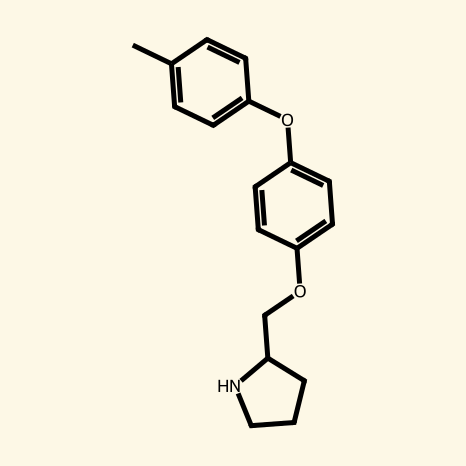 Cc1ccc(Oc2ccc(OCC3CCCN3)cc2)cc1